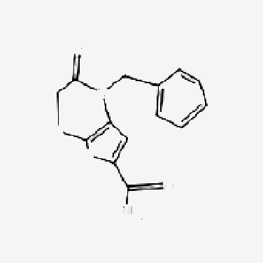 NC(=O)c1cc2c(s1)SCC(=O)N2Cc1ccccc1